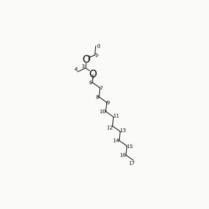 C[CH]OC(C)OCCCCCCCCCCCC